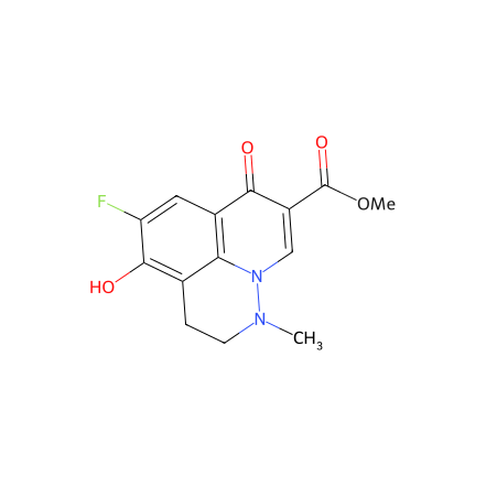 COC(=O)c1cn2c3c(c(O)c(F)cc3c1=O)CCN2C